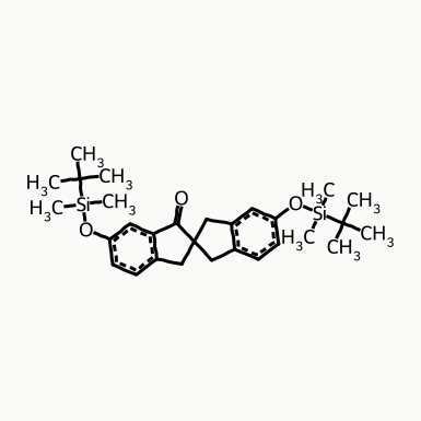 CC(C)(C)[Si](C)(C)Oc1ccc2c(c1)CC1(C2)Cc2ccc(O[Si](C)(C)C(C)(C)C)cc2C1=O